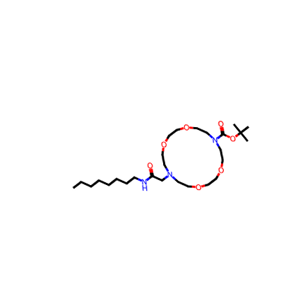 CCCCCCCCNC(=O)CN1CCOCCOCCN(C(=O)OC(C)(C)C)CCOCCOCC1